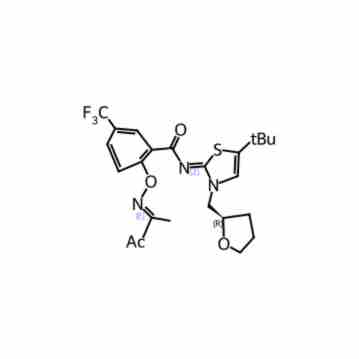 CC(=O)/C(C)=N/Oc1ccc(C(F)(F)F)cc1C(=O)/N=c1\sc(C(C)(C)C)cn1C[C@H]1CCCO1